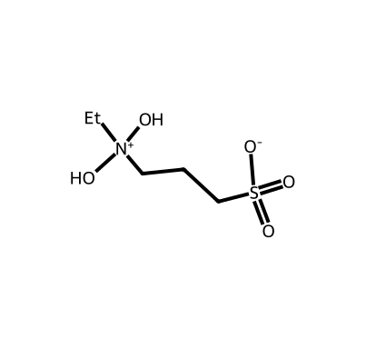 CC[N+](O)(O)CCCS(=O)(=O)[O-]